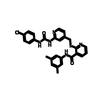 Cc1cc(C)cc(NC(=O)c2cccnc2SCc2ccnc(NC(=O)Nc3ccc(Cl)cc3)c2)c1